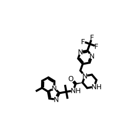 Cc1cccn2c(C(C)(C)NC(=O)[C@@H]3CNCCN3Cc3cnc(C(F)(F)F)nc3)ncc12